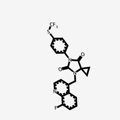 O=C1N(c2ccc(SC(F)(F)F)cc2)C(=O)C2(CC2)N1Cc1ccnc2c(F)cccc12